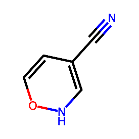 N#CC1=CNOC=C1